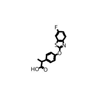 CC(C(=O)O)c1ccc(Oc2nc3ccc(F)cc3s2)cc1